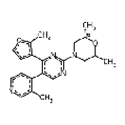 Cc1cnccc1-c1cnc(N2CC(C)O[C@@H](C)C2)nc1-c1ccoc1C